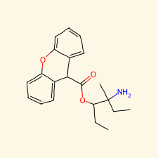 CCC(OC(=O)C1c2ccccc2Oc2ccccc21)C(C)(N)CC